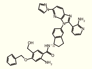 Nc1cc(OCc2ccccc2)c(CO)cc1C(=O)N[C@H]1CCc2cc(-n3c(-c4cccnc4N)nc4ccc(-n5cccn5)nc43)ccc21